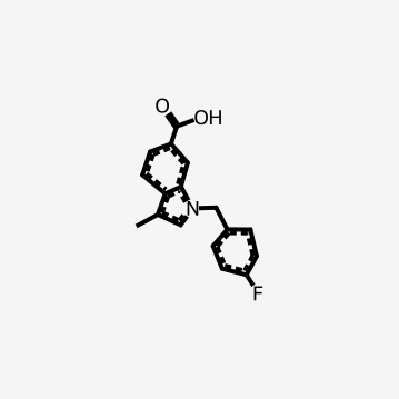 Cc1cn(Cc2ccc(F)cc2)c2cc(C(=O)O)ccc12